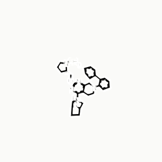 CN1CCC[C@H]1COc1nc2c(c(N3CC4CCC(C3)N4)n1)CCN(c1ccccc1-c1ccccc1)C2